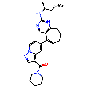 COC[C@H](C)Nc1ncc2c(n1)CCCC=C2c1ccn2ncc(C(=O)N3CCCCC3)c2c1